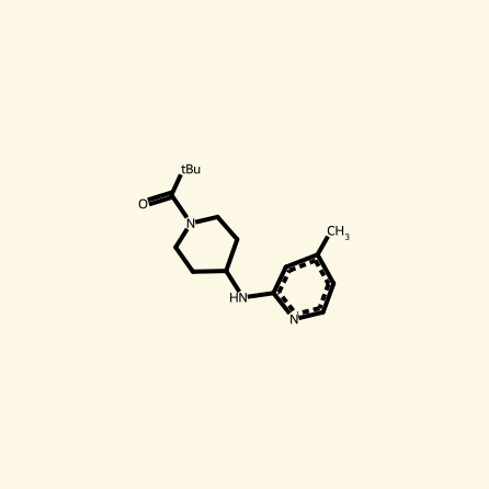 Cc1ccnc(NC2CCN(C(=O)C(C)(C)C)CC2)c1